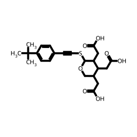 CC(C)(C)c1ccc(C#CSC2OCC(CC(=O)O)C(CC(=O)O)C2CC(=O)O)cc1